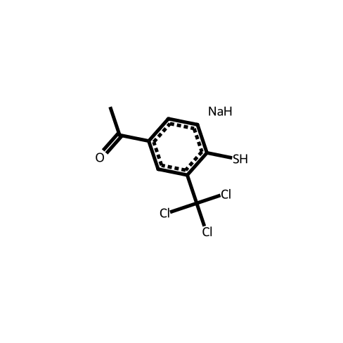 CC(=O)c1ccc(S)c(C(Cl)(Cl)Cl)c1.[NaH]